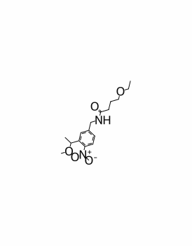 CCOCCCC(=O)NCc1ccc([N+](=O)[O-])c(C(C)OC)c1